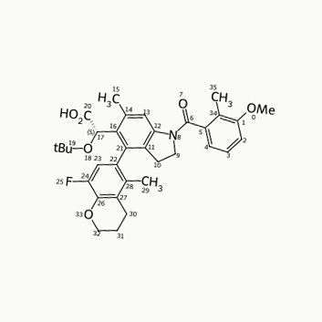 COc1cccc(C(=O)N2CCc3c2cc(C)c([C@H](OC(C)(C)C)C(=O)O)c3-c2cc(F)c3c(c2C)CCCO3)c1C